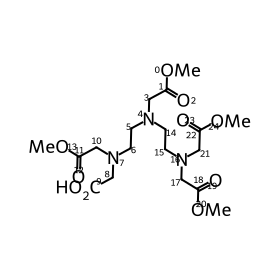 COC(=O)CN(CCN(CC(=O)O)CC(=O)OC)CCN(CC(=O)OC)CC(=O)OC